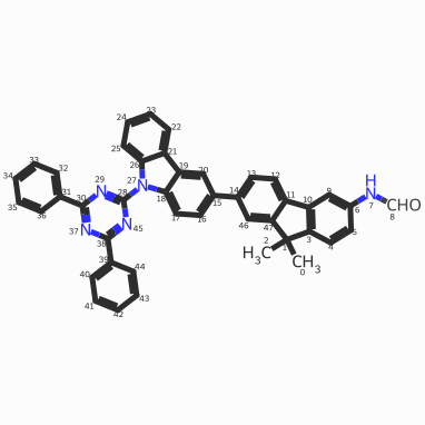 CC1(C)c2ccc(NC=O)cc2-c2ccc(-c3ccc4c(c3)c3ccccc3n4-c3nc(-c4ccccc4)nc(-c4ccccc4)n3)cc21